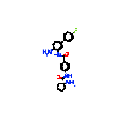 Nc1ccc(-c2ccc(F)cc2)cc1NC(=O)c1ccc(NC(=O)C2(N)CCCC2)cc1